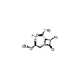 C=C(C=O)[C@@H]1[C@@H](C(C)=O)C(=O)N1CC(=O)OC(C)(C)C